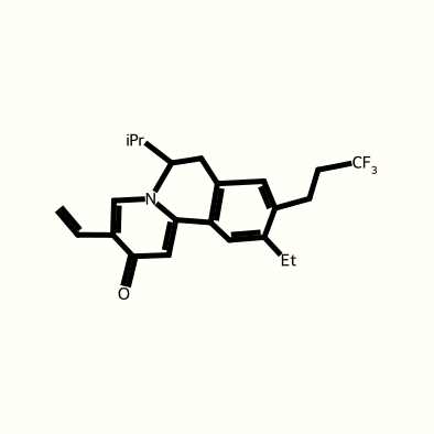 C=Cc1cn2c(cc1=O)-c1cc(CC)c(CCC(F)(F)F)cc1CC2C(C)C